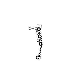 O=Cc1c(O)ccc(OC(=O)C2CCC(OC(=O)c3ccc(CCCCCCOC4CCCCO4)cc3)CC2)c1F